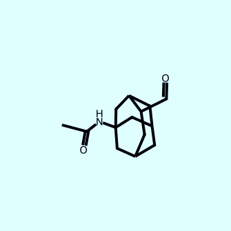 CC(=O)NC12CC3CC(CC(C1)C(C=O)C3)C2